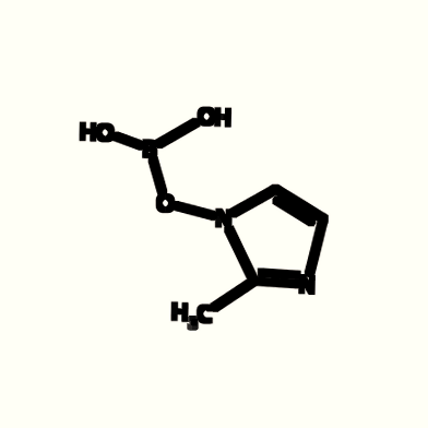 Cc1nccn1OB(O)O